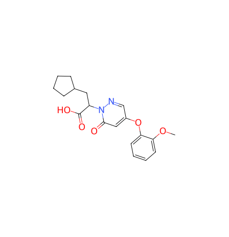 COc1ccccc1Oc1cnn(C(CC2CCCC2)C(=O)O)c(=O)c1